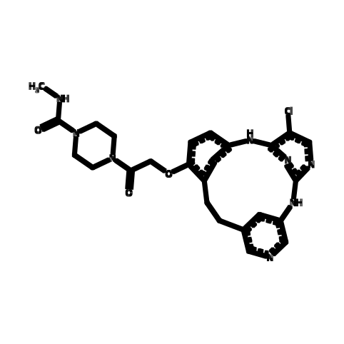 CNC(=O)N1CCN(C(=O)COc2ccc3cc2CCc2cncc(c2)Nc2ncc(Cl)c(n2)N3)CC1